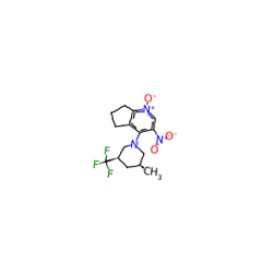 C[C@H]1C[C@@H](C(F)(F)F)CN(c2c([N+](=O)[O-])c[n+]([O-])c3c2CCC3)C1